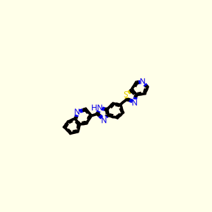 c1ccc2ncc(-c3nc4ccc(-c5nc6ccncc6s5)cc4[nH]3)cc2c1